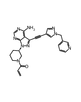 C=CC(=O)N1CCC[C@@H](n2nc(C#Cc3cnn(Cc4cccnc4)c3)c3c(N)ncnc32)C1